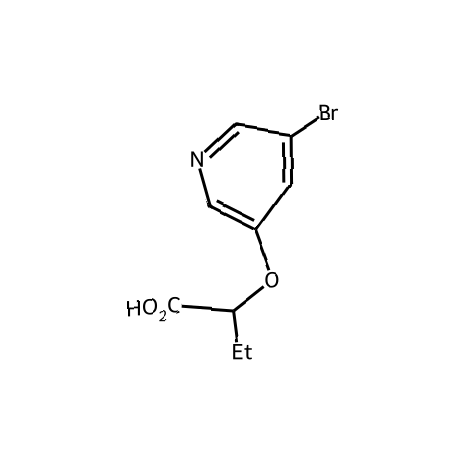 CCC(Oc1cncc(Br)c1)C(=O)O